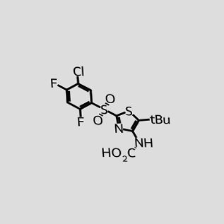 CC(C)(C)c1sc(S(=O)(=O)c2cc(Cl)c(F)cc2F)nc1NC(=O)O